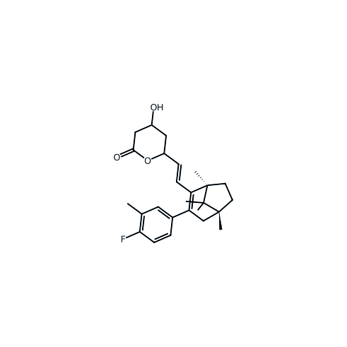 Cc1cc(C2=C(/C=C/C3CC(O)CC(=O)O3)[C@@]3(C)CC[C@](C)(C2)C3(C)C)ccc1F